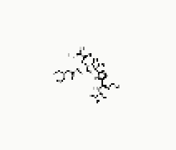 CC(C)[C@H](C)C(=O)N/C(=N/C=N)c1ccc([C@]2(C#N)O[C@H](COC(=O)CC3CCCCC3)[C@@H](OC(=O)[C@@H](N)C(C)C)[C@H]2O)[nH]1